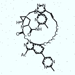 CC(=O)c1nn2c3c(cc(-c4cnc(C)nc4)cc13)CCCCCC/C=C/c1cn(nn1)C[C@@]13C[C@@H](C(=O)Nc4nc(Br)ccc4C)N(C(=O)C2)[C@@H]1C3